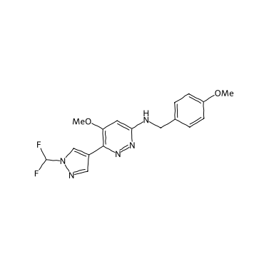 COc1ccc(CNc2cc(OC)c(-c3cnn(C(F)F)c3)nn2)cc1